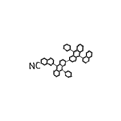 N#Cc1ccc2ccc(-c3c4ccccc4c(-c4ccccc4)c4cc(-c5ccc6c(-c7cccc8ccccc78)c7ccccc7c(-c7ccccc7)c6c5)ccc34)cc2c1